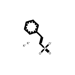 O=P([O-])([O-])/C=C/c1ccccc1.[K+].[K+]